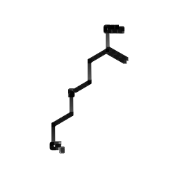 C=C(CCSCCC(F)(F)F)OC